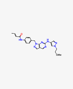 CC=CC(=O)Nc1ccc(Cn2ncc3cnc(Nc4cnn(CCOC)c4)nc32)cc1